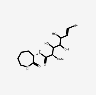 CO[C@@H](C(=O)N[C@H]1CCCCNC1=O)C(O)C(O)C(O)/C=C/C(C)C